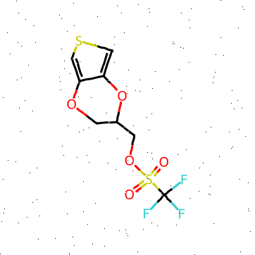 O=S(=O)(OCC1COc2cscc2O1)C(F)(F)F